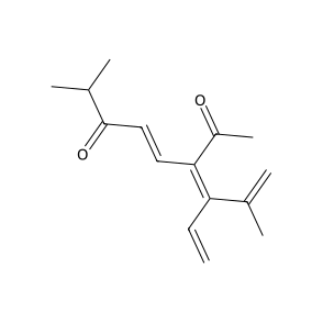 C=C/C(C(=C)C)=C(\C=C\C(=O)C(C)C)C(C)=O